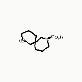 O=C(O)N1CCCC2(CCCNC2)C1